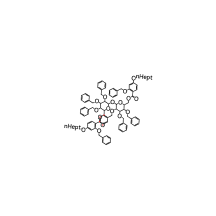 CCCCCCCOc1ccc(C(=O)OCC2O[C@H](O[C@H]3OC(COC(=O)c4ccc(OCCCCCCC)cc4OCc4ccccc4)[C@@H](OCc4ccccc4)C(OCc4ccccc4)C3OCc3ccccc3)C(OCc3ccccc3)C(OCc3ccccc3)[C@@H]2OCc2ccccc2)c(OCc2ccccc2)c1